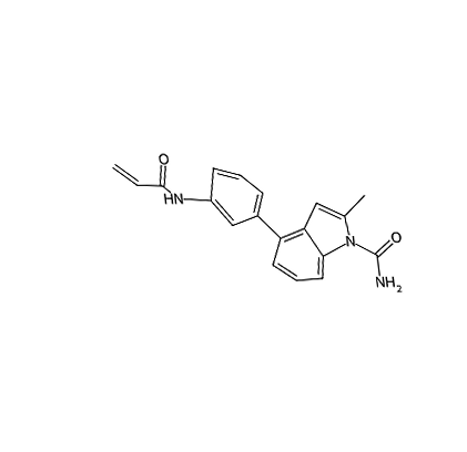 C=CC(=O)Nc1cccc(-c2cccc3c2cc(C)n3C(N)=O)c1